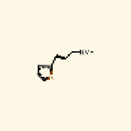 CNCC=Cc1cccs1